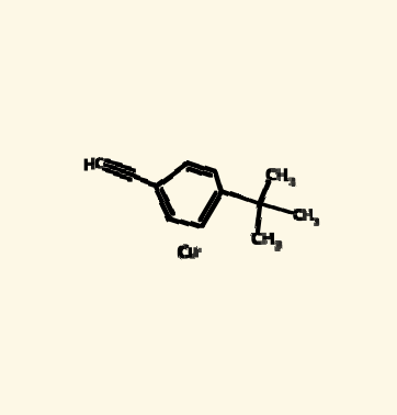 C#Cc1ccc(C(C)(C)C)cc1.[Cu]